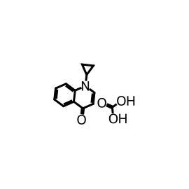 O=C(O)O.O=c1ccn(C2CC2)c2ccccc12